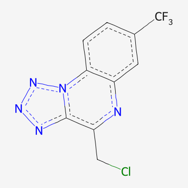 FC(F)(F)c1ccc2c(c1)nc(CCl)c1nnnn12